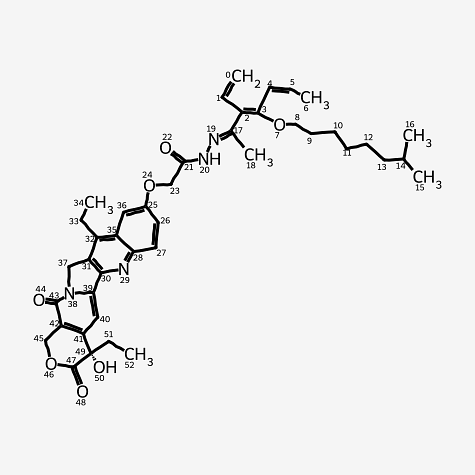 C=CC(=C(\C=C/C)OCCCCCCC(C)C)/C(C)=N/NC(=O)COc1ccc2nc3c(c(CC)c2c1)Cn1c-3cc2c(c1=O)COC(=O)[C@]2(O)CC